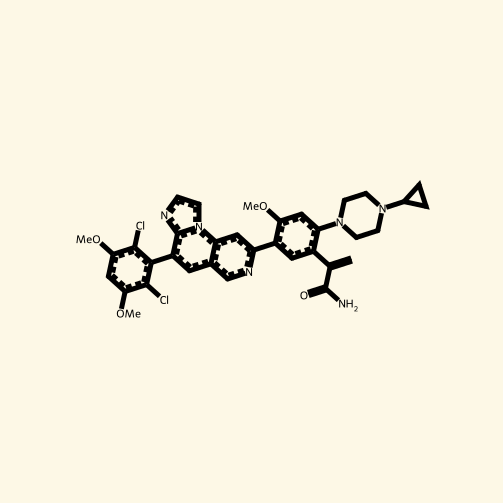 C=C(C(N)=O)c1cc(-c2cc3c(cn2)cc(-c2c(Cl)c(OC)cc(OC)c2Cl)c2nccn23)c(OC)cc1N1CCN(C2CC2)CC1